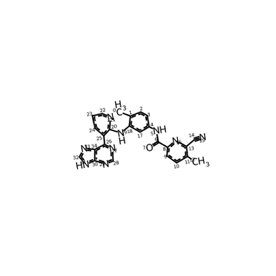 Cc1ccc(NC(=O)c2ccc(C)c(C#N)n2)cc1Nc1ncccc1-c1ncnc2[nH]cnc12